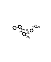 Cc1ccc(C(=O)Nc2cccc(N3CCOCC3)c2)cc1NC(=O)c1cccc(OC2CCNC2)c1